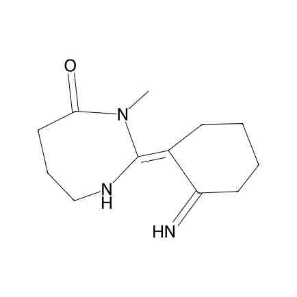 CN1C(=O)CCCN/C1=C1/CCCCC1=N